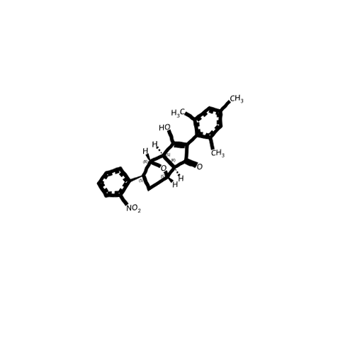 Cc1cc(C)c(C2=C(O)[C@@H]3[C@@H]4O[C@@H](C[C@H]4c4ccccc4[N+](=O)[O-])[C@@H]3C2=O)c(C)c1